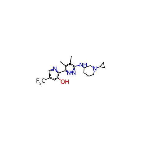 Cc1c(NC2CCCN(C3CC3)C2)nnc(-c2ncc(C(F)(F)F)cc2O)c1C